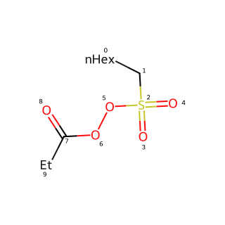 CCCCCCCS(=O)(=O)OOC(=O)CC